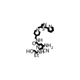 CC[C@@H](CO)Nc1nc(C(=O)NCC2CCN(Cc3cnc(-c4ccccn4)s3)CC2)cc(N)c1C#N